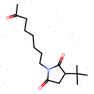 CC(=O)CCCCCCN1C(=O)CC(C(C)(C)C)C1=O